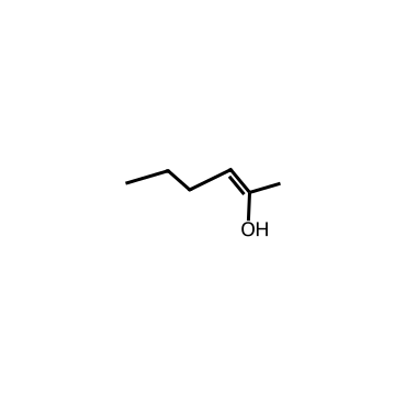 CCCC=C(C)O